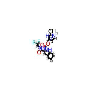 C=C/C=C(\C=C/N)COC(=O)N[C@@H](Cc1ccccc1)C(=O)NCC(F)F